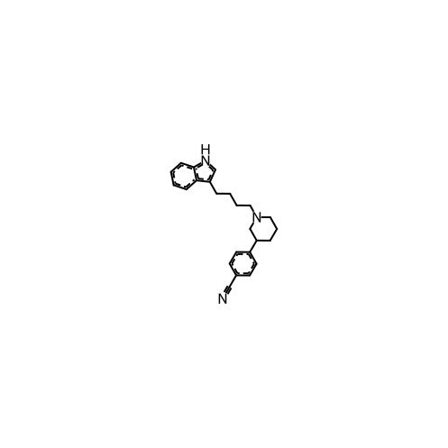 N#Cc1ccc(C2CCCN(CCCCc3c[nH]c4ccccc34)C2)cc1